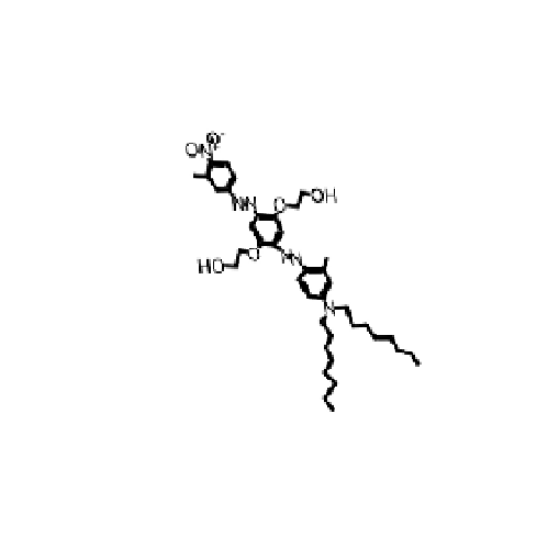 CCCCCCCCN(CCCCCCCC)c1ccc(/N=N/c2cc(OCCO)c(/N=N/C3=CC=C([N+](=O)[O-])C(C)C3)cc2OCCO)c(C)c1